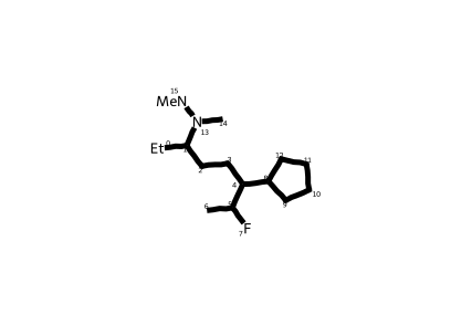 CCC(CCC(C(C)F)C1CCCC1)N(C)NC